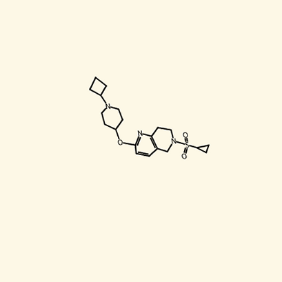 O=S(=O)(C1CC1)N1CCc2nc(OC3CCN(C4CCC4)CC3)ccc2C1